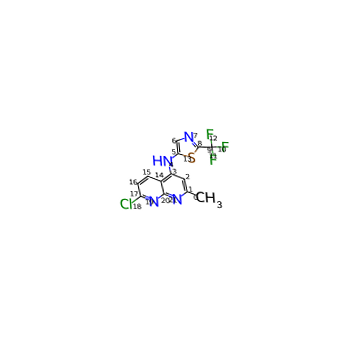 Cc1cc(Nc2cnc(C(F)(F)F)s2)c2ccc(Cl)nc2n1